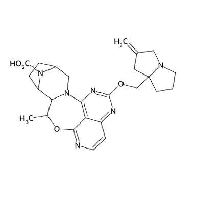 C=C1CN2CCCC2(COc2nc3c4c(nccc4n2)OC(C)C2C4CCC(CN32)N4C(=O)O)C1